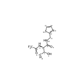 CC(O)[C@@H](NC(=O)C(F)(F)F)C(=O)NCc1nccs1